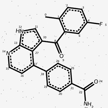 Cc1ccc(F)cc1C(=O)c1c[nH]c2nccc(-c3ccc(C(N)=O)cc3)c12